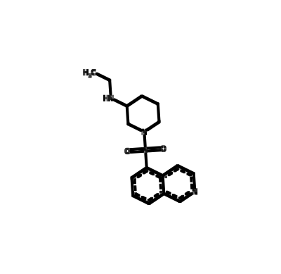 CCNC1CCCN(S(=O)(=O)c2cccc3cnccc23)C1